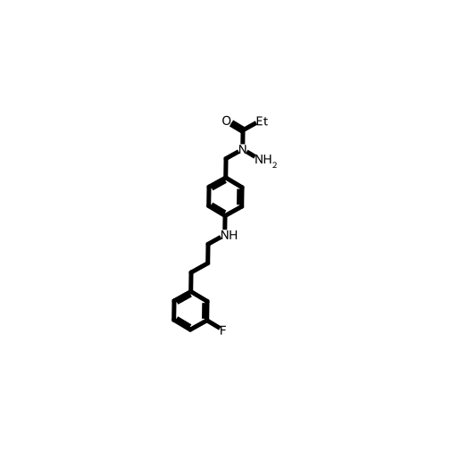 CCC(=O)N(N)Cc1ccc(NCCCc2cccc(F)c2)cc1